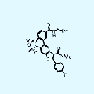 CNC(=O)C1c2cc(-c3cc(C(=O)NCC(C)C)ccc3OC)c(NS(C)(=O)=O)cc2OC1c1ccc(F)cc1